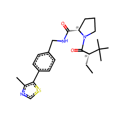 CC[C@H](C(=O)N1CCC[C@H]1C(=O)NCc1ccc(-c2scnc2C)cc1)C(C)(C)C